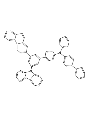 c1ccc(-c2ccc(N(c3ccccc3)c3ccc(-c4cc(-c5ccc6c(ccc7ccccc76)c5)cc(-n5c6ccccc6c6ccccc65)c4)cc3)cc2)cc1